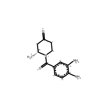 C[C@@H]1CC(=O)CCN1C(=O)c1ccc(N)c(N)c1